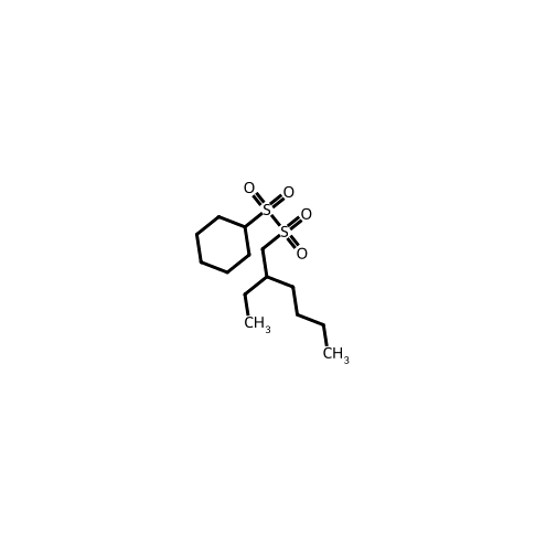 CCCCC(CC)CS(=O)(=O)S(=O)(=O)C1CCCCC1